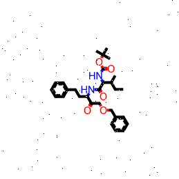 CCC(C)C(NC(=O)OC(C)(C)C)C(=O)NC(CCc1ccccc1)C(=O)COCc1ccccc1